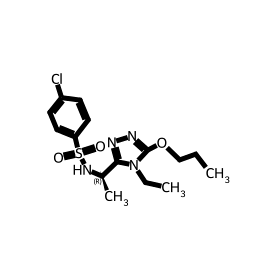 CCCOc1nnc([C@@H](C)NS(=O)(=O)c2ccc(Cl)cc2)n1CC